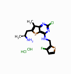 Cc1c(C[C@H](C)N)sc2c(NCc3sccc3F)nc(Cl)nc12.Cl.Cl